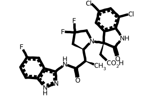 C[C@@H](C(=O)Nc1n[nH]c2ccc(F)cc12)[C@H]1CC(F)(F)CN1[C@@]1(CC(=O)O)C(=O)Nc2c(Cl)cc(Cl)cc21